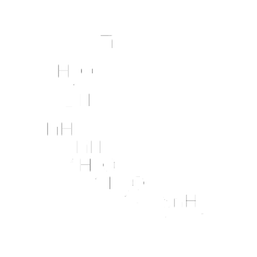 O.O.O.[LiH].[LiH].[LiH].[SnH2].[Ti]